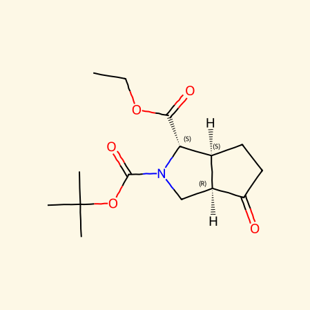 CCOC(=O)[C@@H]1[C@H]2CCC(=O)[C@H]2CN1C(=O)OC(C)(C)C